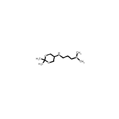 CN(C)CCCNC1COC(C)(C)OC1